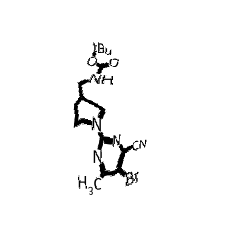 Cc1nc(N2CCC(CNC(=O)OC(C)(C)C)C2)nc(C#N)c1Br